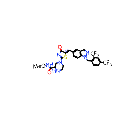 CONC(=O)C1CN(C2=NC(=O)/C(=C/c3ccc4c(cnn4Cc4ccc(C(F)(F)F)cc4C(F)(F)F)c3)S2)CCN1